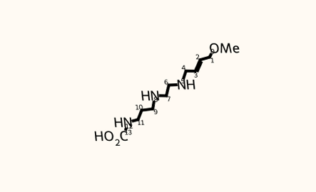 COCC=CCNCCNCCCNC(=O)O